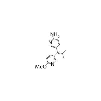 COc1ccc(C(=C(C)C)c2ccc(N)nc2)cn1